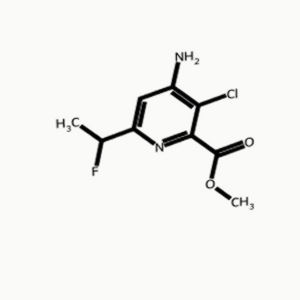 COC(=O)c1nc(C(C)F)cc(N)c1Cl